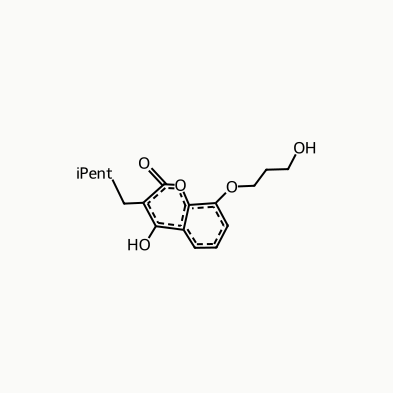 CCCC(C)Cc1c(O)c2cccc(OCCCO)c2oc1=O